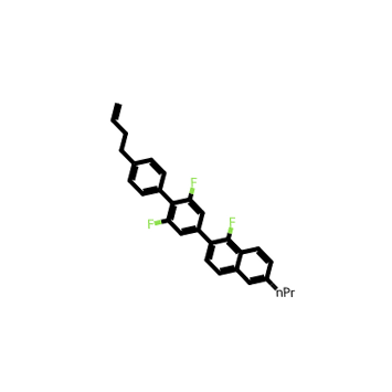 C=CCCc1ccc(-c2c(F)cc(-c3ccc4cc(CCC)ccc4c3F)cc2F)cc1